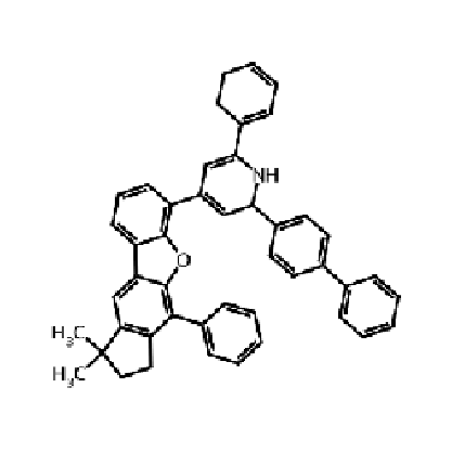 CC1(C)CCc2c1cc1c(oc3c(C4=CC(c5ccc(-c6ccccc6)cc5)NC(C5=CC=CCC5)=C4)cccc31)c2-c1ccccc1